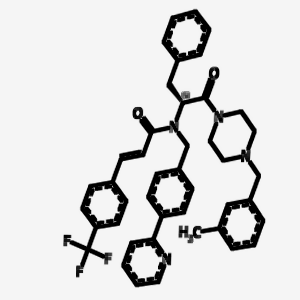 Cc1cccc(CN2CCN(C(=O)[C@H](Cc3ccccc3)N(Cc3ccc(-c4ccccn4)cc3)C(=O)C=Cc3ccc(C(F)(F)F)cc3)CC2)c1